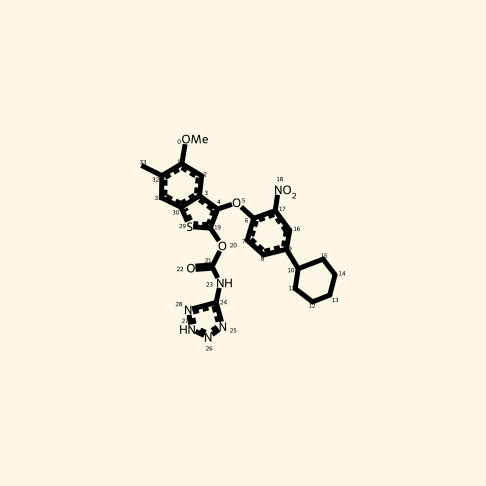 COc1cc2c(Oc3ccc(C4CCCCC4)cc3[N+](=O)[O-])c(OC(=O)Nc3nn[nH]n3)sc2cc1C